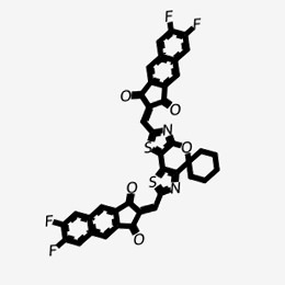 O=C1C(=Cc2nc3c(s2)-c2sc(C=C4C(=O)c5cc6cc(F)c(F)cc6cc5C4=O)nc2C2(CCCCC2)O3)C(=O)c2cc3cc(F)c(F)cc3cc21